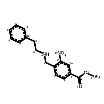 CC(C)(C)OC(=O)c1ccc(CNCCc2ccccc2)c([N+](=O)[O-])c1